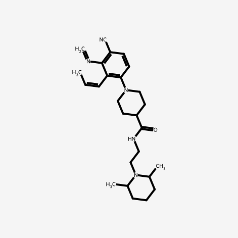 C=Nc1c(C#N)ccc(N2CCC(C(=O)NCCN3C(C)CCCC3C)CC2)c1/C=C\C